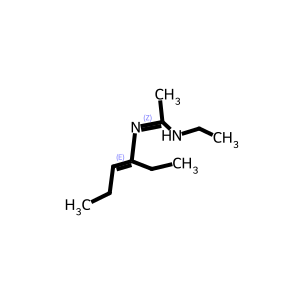 CC/C=C(CC)/N=C(/C)NCC